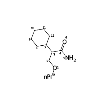 CCCOCC(C(N)=O)C1CCCCC1